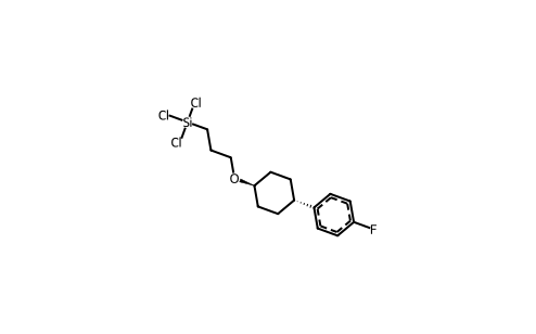 Fc1ccc([C@H]2CC[C@H](OCCC[Si](Cl)(Cl)Cl)CC2)cc1